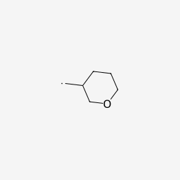 [CH2]C1CCCOC1